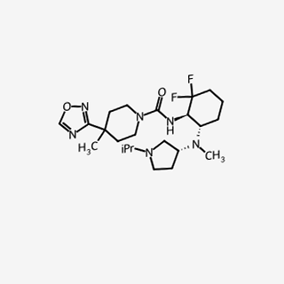 CC(C)N1CC[C@@H](N(C)[C@H]2CCCC(F)(F)[C@@H]2NC(=O)N2CCC(C)(c3ncon3)CC2)C1